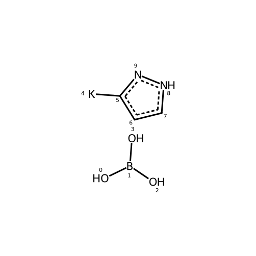 OB(O)O.[K][c]1cc[nH]n1